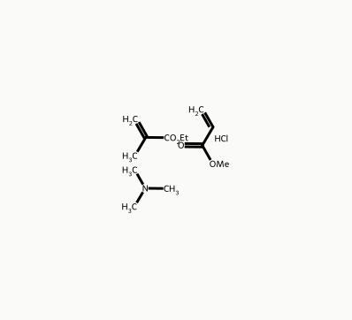 C=C(C)C(=O)OCC.C=CC(=O)OC.CN(C)C.Cl